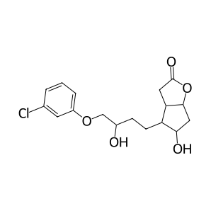 O=C1CC2C(CC(O)C2CCC(O)COc2cccc(Cl)c2)O1